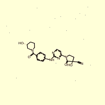 N#C[C@@]1(O)CCN(c2ccnc(Nc3ccc(C(=O)N4CCC[C@@H](O)C4)cc3)n2)C1=O